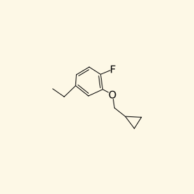 CCc1ccc(F)c(OCC2CC2)c1